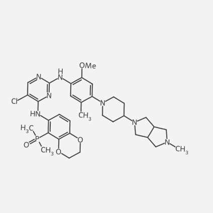 COc1cc(N2CCC(N3CC4CN(C)CC4C3)CC2)c(C)cc1Nc1ncc(Cl)c(Nc2ccc3c(c2P(C)(C)=O)OCCO3)n1